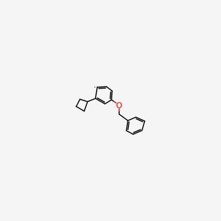 [c]1ccc(OCc2ccccc2)cc1C1CCC1